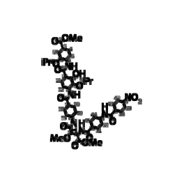 COC(=O)c1ccc(NC(=O)c2ccc(NC(=O)c3ccc(NC(=O)C(OC)C(NC(=O)c4ccc(NC(=O)c5ccc([N+](=O)[O-])cc5)cc4)C(=O)OC)cc3)c(OC(C)C)c2O)c(OC(C)C)c1